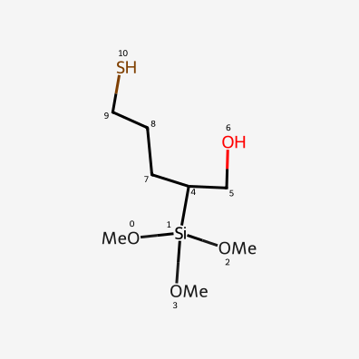 CO[Si](OC)(OC)C(CO)CCCS